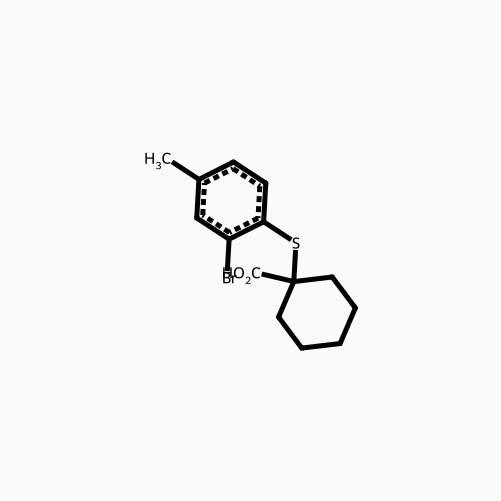 Cc1ccc(SC2(C(=O)O)CCCCC2)c(Br)c1